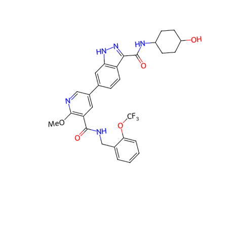 COc1ncc(-c2ccc3c(C(=O)NC4CCC(O)CC4)n[nH]c3c2)cc1C(=O)NCc1ccccc1OC(F)(F)F